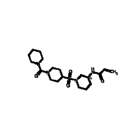 C=CC(=O)N[C@H]1CCCN(S(=O)(=O)C2CCN(C(=O)N3CCCCC3)CC2)C1